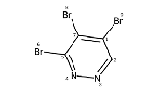 Brc1cnnc(Br)c1Br